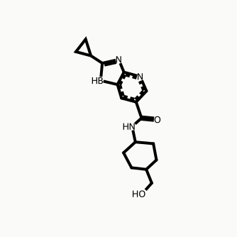 O=C(NC1CCC(CO)CC1)c1cnc2c(c1)BC(C1CC1)=N2